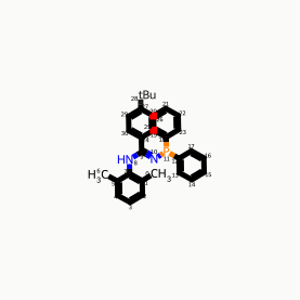 Cc1cccc(C)c1NC(=NP(c1ccccc1)c1ccccc1)c1ccc(C(C)(C)C)cc1